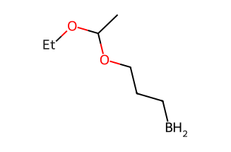 BCCCOC(C)OCC